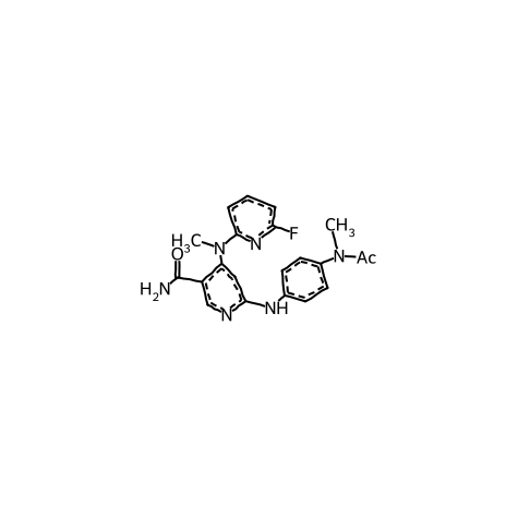 CC(=O)N(C)c1ccc(Nc2cc(N(C)c3cccc(F)n3)c(C(N)=O)cn2)cc1